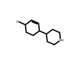 ClC1C=CC(C2CCNCC2)CC1